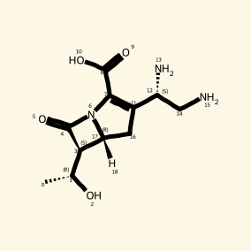 C[C@@H](O)[C@H]1C(=O)N2C(C(=O)O)=C([C@H](N)CN)C[C@H]12